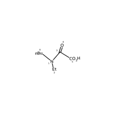 CCCCN(CC)C(=O)C(=O)O